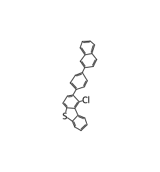 Clc1c(-c2ccc(-c3ccc4ccccc4c3)cc2)ccc2sc3ccccc3c12